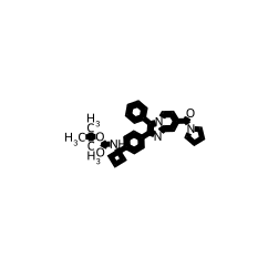 CC(C)(C)OC(=O)NC1(c2ccc(-c3nc4cc(C(=O)N5CCCC5)ccn4c3-c3ccccc3)cc2)CCC1